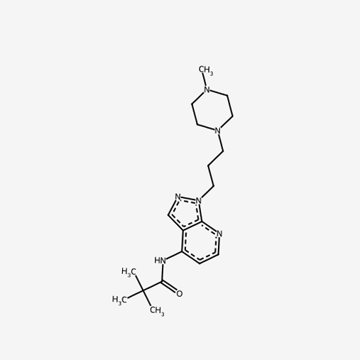 CN1CCN(CCCn2ncc3c(NC(=O)C(C)(C)C)ccnc32)CC1